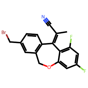 CC(C#N)=C1c2ccc(CBr)cc2COc2cc(F)cc(F)c21